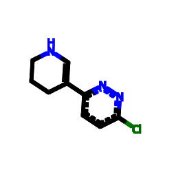 Clc1ccc(C2=CNCCC2)nn1